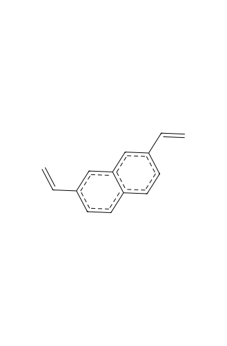 C=Cc1ccc2ccc(C=C)cc2c1